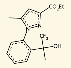 CCOC(=O)c1cc(C)n(-c2ccccc2C(C)(O)C(F)(F)F)n1